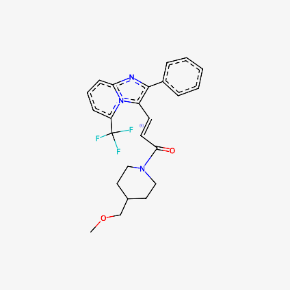 COCC1CCN(C(=O)/C=C/c2c(-c3ccccc3)nc3cccc(C(F)(F)F)n23)CC1